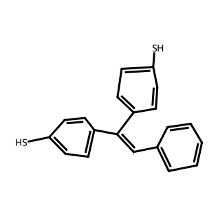 Sc1ccc(C(=[C]c2ccccc2)c2ccc(S)cc2)cc1